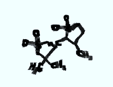 CC1(C)CCS(=O)(=O)C1.CC1CCS(=O)(=O)C1C